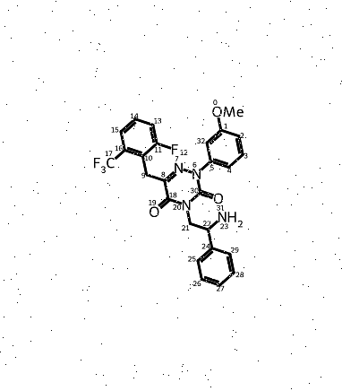 COc1cccc(-n2nc(Cc3c(F)cccc3C(F)(F)F)c(=O)n(CC(N)c3ccccc3)c2=O)c1